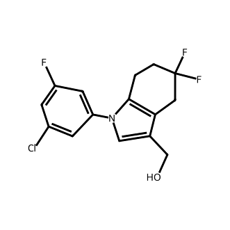 OCc1cn(-c2cc(F)cc(Cl)c2)c2c1CC(F)(F)CC2